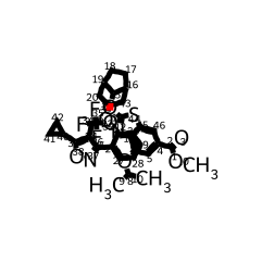 COC(=O)c1cc(OC(C)C)c2nc(OC3C4CCC3CC(OCc3c(-c5ccccc5OC(F)(F)F)noc3C3CC3)C4)sc2c1